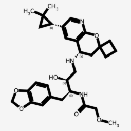 COCC(=O)N[C@@H](Cc1ccc2c(c1)OCO2)[C@@H](O)CN[C@H]1CC2(CCC2)Oc2ncc([C@@H]3CC3(C)C)cc21